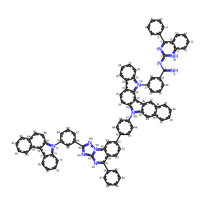 N=C(/N=c1/nc(-c2ccccc2)c2ccccc2[nH]1)c1cccc(-n2c3ccccc3c3ccc4c(c5cc6ccccc6cc5n4-c4ccc(-c5ccc6c(-c7ccccc7)nc7nc(-c8cccc(-n9c%10ccccc%10c%10c%11ccccc%11ccc%109)c8)nn7c6c5)cc4)c32)c1